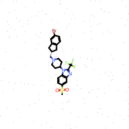 CS(=O)(=O)c1ccc2c(c1)nc(C(F)(F)F)n2C1CCN(C[C@H]2Cc3ccc(Br)cc3C2)CC1